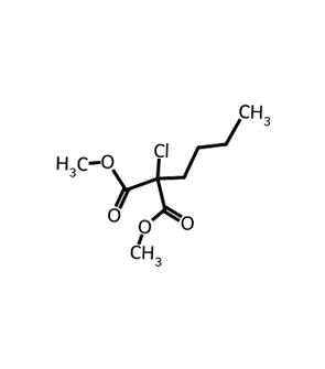 CCCCC(Cl)(C(=O)OC)C(=O)OC